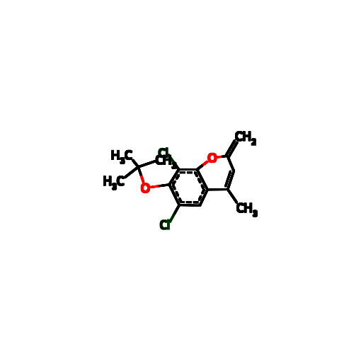 C=C1C=C(C)c2cc(Cl)c(OC(C)(C)C)c(Cl)c2O1